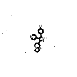 Clc1ccc(-c2[nH]nc(C3=C[C@@H]4CCCN4CC3)c2-c2ccncc2)cc1